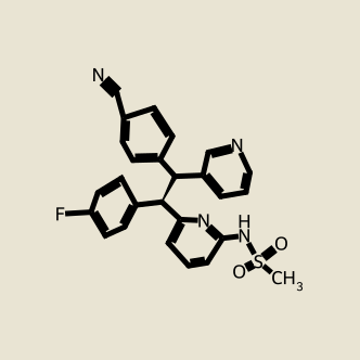 CS(=O)(=O)Nc1cccc([C@@H](c2ccc(F)cc2)C(c2ccc(C#N)cc2)c2cccnc2)n1